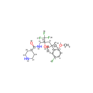 COc1ccc(F)cc1C(C)(C)CC(O)(CNC(=O)C1CCNCC1)C(F)(F)F